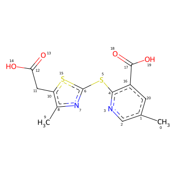 Cc1cnc(Sc2nc(C)c(CC(=O)O)s2)c(C(=O)O)c1